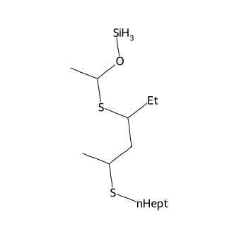 CCCCCCCSC(C)CC(CC)SC(C)O[SiH3]